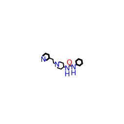 O=C(Nc1ccccc1)NC1CCN(CCc2cccnc2)CC1